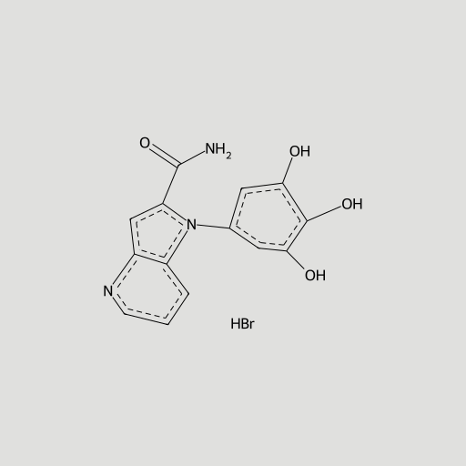 Br.NC(=O)c1cc2ncccc2n1-c1cc(O)c(O)c(O)c1